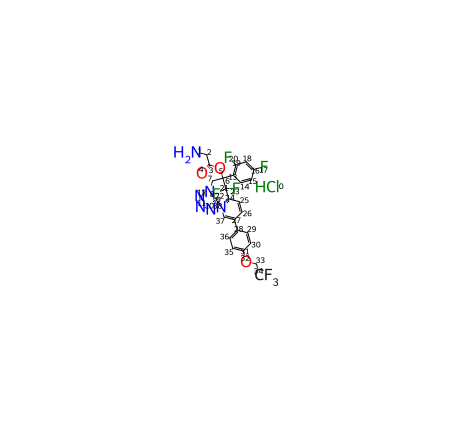 Cl.NCC(=O)OC(Cn1cnnn1)(c1ccc(F)cc1F)C(F)(F)c1ccc(-c2ccc(OCC(F)(F)F)cc2)cn1